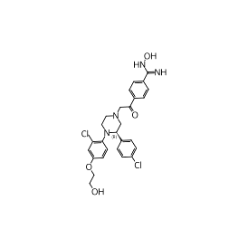 N=C(NO)c1ccc(C(=O)CN2CCN(c3ccc(OCCO)cc3Cl)[C@H](c3ccc(Cl)cc3)C2)cc1